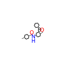 Cc1ccc(C(=O)Nc2ccc3c(c2)B(c2ccccc2)OC3)cc1